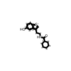 O=C(NCCc1csc2ccc(O)cc12)C1CCCCC1